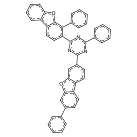 c1ccc(-c2ccc3c(c2)oc2cc(-c4nc(-c5ccccc5)nc(-c5ccc6c(oc7ccccc76)c5-c5ccccc5)n4)ccc23)cc1